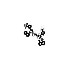 C[C@@H](NC(C=Cc1cccc(C(F)(F)F)c1)OC(=O)/C=C/C(=O)OC(C=Cc1cccc(C(F)(F)F)c1)N[C@H](C)c1cccc2ccccc12)c1cccc2ccccc12